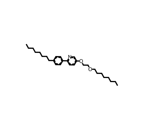 CCCCCCCCOCCOc1ccc(-c2ccc(CCCCCCCC)cc2)nc1